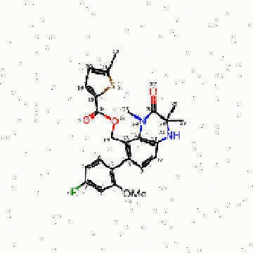 COc1cc(F)ccc1-c1ccc2c(c1COC(=O)c1ccc(C)s1)N(C)C(=O)C(C)(C)N2